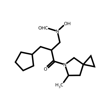 CC1CC2(CC2)CN1C(=O)C(CC1CCCC1)CN(O)C=O